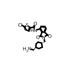 NC[C@H]1CC[C@H](CN2C(=O)c3cccc(NC(=O)c4ccc(Cl)s4)c3C2=O)CC1